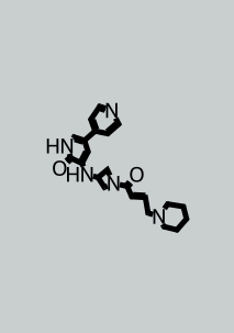 O=C(C=CCN1CCCCC1)N1CC(Nc2cc(-c3ccncc3)c[nH]c2=O)C1